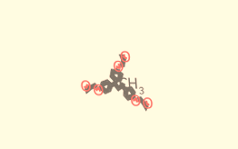 CC(CC(c1ccc(OCC2CO2)cc1)c1ccc(OCC2CO2)cc1)c1ccc(OCC2CO2)cc1